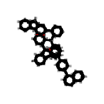 c1ccc(N(c2ccc(-c3ccc(-c4cccc5ccccc45)cc3)cc2)c2ccccc2-n2c3ccccc3c3ccccc32)c(-c2ccc3c(c2)oc2ccccc23)c1